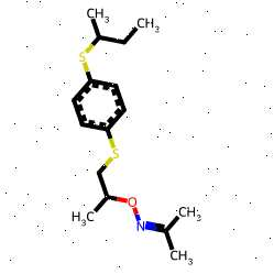 CCC(C)Sc1ccc(SCC(C)ON=C(C)C)cc1